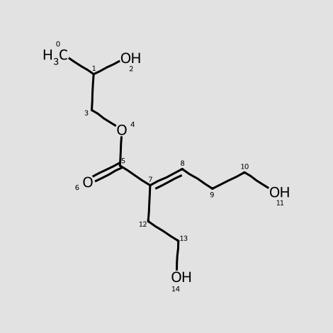 CC(O)COC(=O)C(=CCCO)CCO